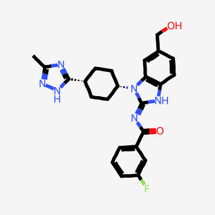 Cc1n[nH]c([C@H]2CC[C@@H](n3/c(=N/C(=O)c4cccc(F)c4)[nH]c4ccc(CO)cc43)CC2)n1